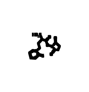 O=C(ON1C(=O)CCC1=O)C(CCn1ccccc1=S)S(=O)(=O)O